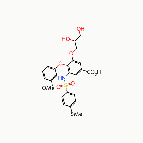 COc1cccc(Oc2c(NS(=O)(=O)c3ccc(SC)cc3)cc(C(=O)O)cc2OCC(O)CO)c1